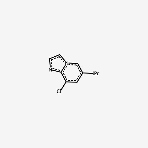 CC(C)c1cc(Cl)c2nccn2c1